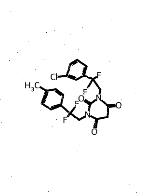 Cc1ccc(C(F)(F)CN2C(=O)CC(=O)N(CC(F)(F)c3cccc(Cl)c3)C2=O)cc1